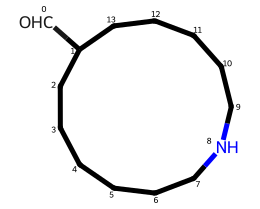 O=CC1CCCCCCNCCCCC1